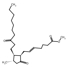 CCCCCCCC(=O)CC[C@@H]1[C@@H](C)CC(=O)[C@@H]1CC=CCCCC(=O)OC